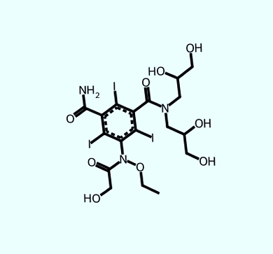 CCON(C(=O)CO)c1c(I)c(C(N)=O)c(I)c(C(=O)N(CC(O)CO)CC(O)CO)c1I